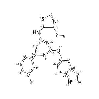 CCC1N=CSC1Nc1cc(-c2cccc(C)c2)nc(Oc2ccc3ncsc3c2)n1